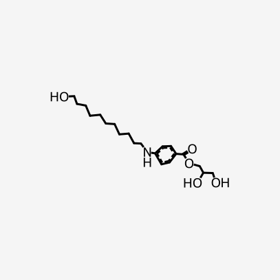 O=C(OCC(O)CO)c1ccc(NCCCCCCCCCCCO)cc1